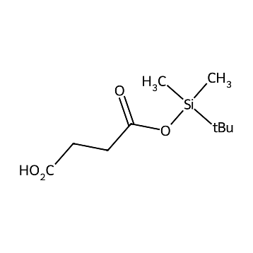 CC(C)(C)[Si](C)(C)OC(=O)CCC(=O)O